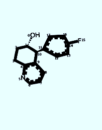 O[C@H]1CCc2ncccc2[C@@H]1c1ccc(F)cc1